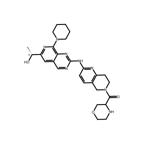 C[C@@H](O)c1cc2cnc(Nc3ccc4c(n3)CCN(C(=O)C3COCCN3)C4)nc2c(N2CCCCC2)n1